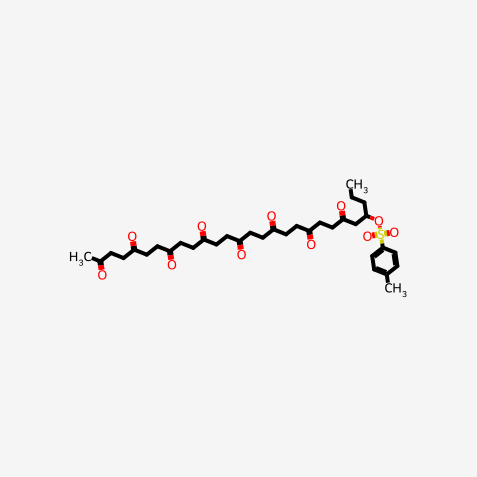 CCCC(CC(=O)CCC(=O)CCC(=O)CCC(=O)CCC(=O)CCC(=O)CCC(=O)CCC(C)=O)OS(=O)(=O)c1ccc(C)cc1